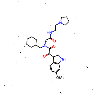 COc1ccc2c(c1)NCC2C(=O)C(=O)N(CC(=O)NCCN1CCCC1)CC1CCCCC1